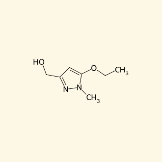 CCOc1cc(CO)nn1C